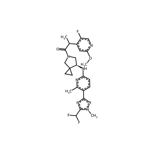 COc1cc(C(C)C(=O)N2C[C@@H](Nc3ccc(-c4nc(C(F)F)n(C)n4)c(C)n3)C3(CC3)C2)c(F)cn1